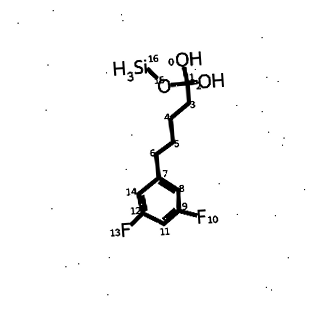 OC(O)(CCCCc1cc(F)cc(F)c1)O[SiH3]